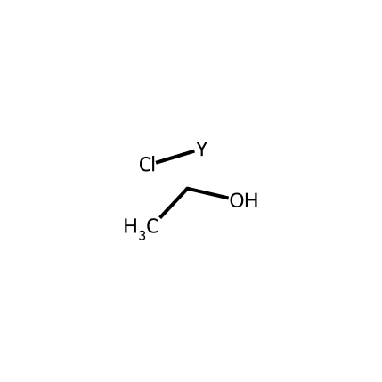 CCO.[Cl][Y]